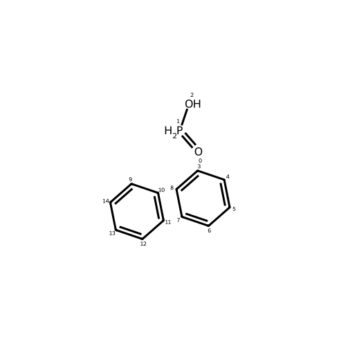 O=[PH2]O.c1ccccc1.c1ccccc1